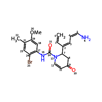 C=C/C(=C\C=C/N)C1CC(=O)C=CN1C(=O)Nc1cc(OC)c(C)cc1Br